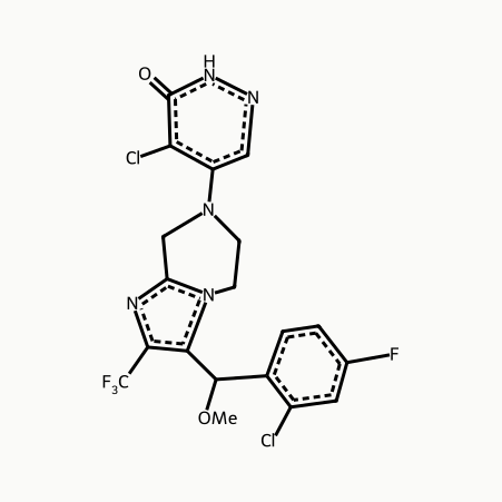 COC(c1ccc(F)cc1Cl)c1c(C(F)(F)F)nc2n1CCN(c1cn[nH]c(=O)c1Cl)C2